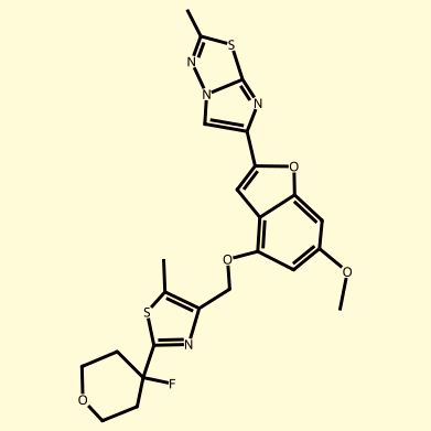 COc1cc(OCc2nc(C3(F)CCOCC3)sc2C)c2cc(-c3cn4nc(C)sc4n3)oc2c1